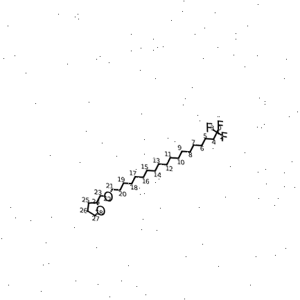 FC(F)(F)CCCCCCCCCCCCCCCCCCOCC1CCCO1